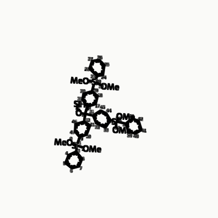 CO[Si](OC)(c1ccccc1)c1ccc(C(O[SiH3])(c2ccc([Si](OC)(OC)c3ccccc3)cc2)c2ccc([Si](OC)(OC)c3ccccc3)cc2)cc1